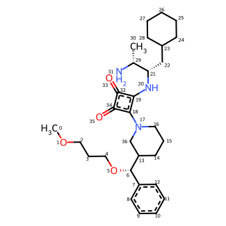 COCCCO[C@@H](c1ccccc1)C1CCCN(c2c(N[C@@H](CC3CCCCC3)[C@@H](C)N)c(=O)c2=O)C1